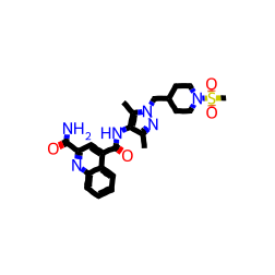 Cc1nn(CC2CCN(S(C)(=O)=O)CC2)c(C)c1NC(=O)c1cc(C(N)=O)nc2ccccc12